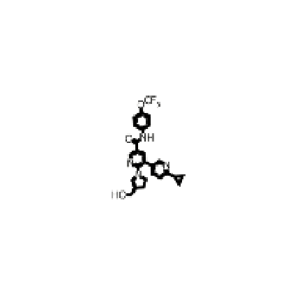 O=C(Nc1ccc(OC(F)(F)F)cc1)c1cnc(N2CCC(CO)C2)c(-c2ccc(C3CC3)nc2)c1